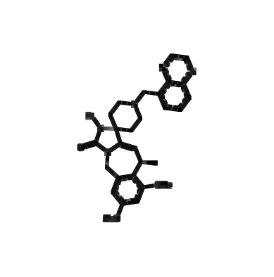 CCN1C(=O)N2Cc3cc(OC)cc(OC)c3[C@H](C)C=C2C12CCN(Cc1cccc3nccnc13)CC2